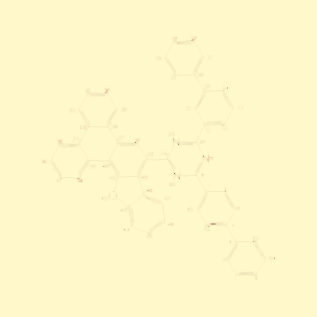 c1ccc(-c2ccc(-c3nc(-c4cccc(-c5ccccc5)c4)nc(-c4cc5c6ccccc6c6ccccc6c5c5oc6ccccc6c45)n3)cc2)cc1